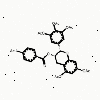 CC(=O)Oc1ccc(C(=O)O[C@H]2Cc3c(OC(C)=O)cc(OC(C)=O)cc3O[C@H]2c2cc(OC(C)=O)c(OC(C)=O)c(OC(C)=O)c2)cc1